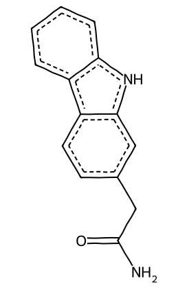 NC(=O)Cc1ccc2c(c1)[nH]c1ccccc12